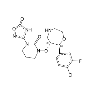 O=C1N(O[C@@H]2CNCCO[C@H]2c2ccc(Cl)c(F)c2)CCCN1c1noc(=O)[nH]1